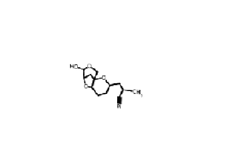 C[C@@H](C#N)CC1CCC2OC3CC2(CO[C@@H]3O)O1